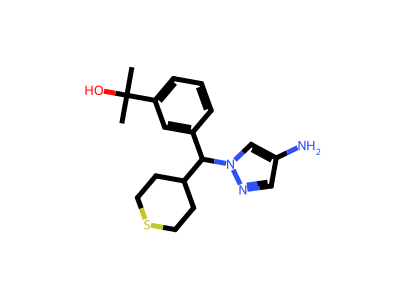 CC(C)(O)c1cccc(C(C2CCSCC2)n2cc(N)cn2)c1